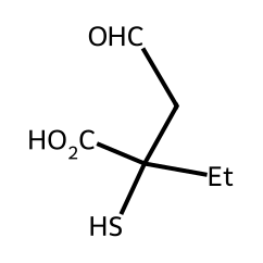 CCC(S)(CC=O)C(=O)O